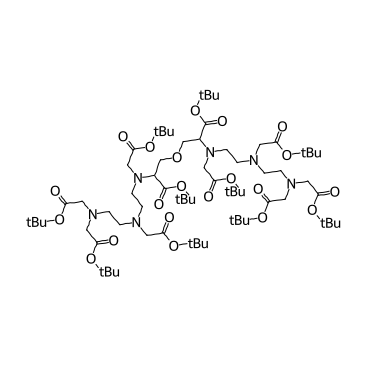 CC(C)(C)OC(=O)CN(CCN(CC(=O)OC(C)(C)C)CC(=O)OC(C)(C)C)CCN(CC(=O)OC(C)(C)C)C(COCC(C(=O)OC(C)(C)C)N(CCN(CCN(CC(=O)OC(C)(C)C)CC(=O)OC(C)(C)C)CC(=O)OC(C)(C)C)CC(=O)OC(C)(C)C)C(=O)OC(C)(C)C